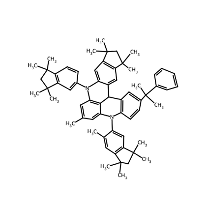 Cc1cc2c3c(c1)N(c1cc4c(cc1C)C(C)(C)CC4(C)C)c1ccc(C(C)(C)c4ccccc4)cc1C3c1cc3c(cc1N2c1ccc2c(c1)C(C)(C)CC2(C)C)C(C)(C)CC3(C)C